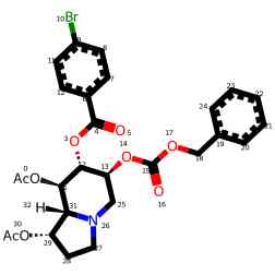 CC(=O)O[C@H]1[C@H](OC(=O)c2ccc(Br)cc2)[C@@H](OC(=O)OCc2ccccc2)CN2CC[C@H](OC(C)=O)[C@H]12